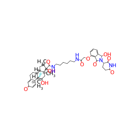 C[C@@H]1C[C@H]2[C@@H]3CCC4=CC(=O)C=C[C@]4(C)[C@@]3(F)[C@@H](O)C[C@]2(C)[C@@]1(O)C(=O)NCCCCCCNC(=O)COc1cccc2c1C(=O)N(C1CCC(=O)NC1=O)C2O